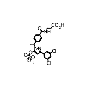 C[C@@H](c1ccc(C(=O)NCCC(=O)O)cc1)n1nc(-c2cc(Cl)cc(Cl)c2)cc1OS(=O)(=O)C(F)(F)F